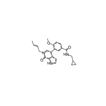 CC=CCn1cc(-c2cc(C(=O)NCC3CC3)ccc2OC)c2cc[nH]c2c1=O